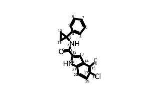 O=C(NC1(c2ccccc2)CC1)c1cc2c(F)c(Cl)ccc2[nH]1